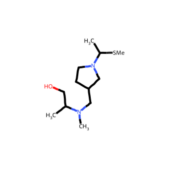 CSC(C)N1CCC(CN(C)C(C)CO)C1